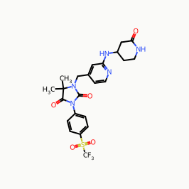 CC1(C)C(=O)N(c2ccc(S(=O)(=O)C(F)(F)F)cc2)C(=O)N1Cc1ccnc(NC2CCNC(=O)C2)c1